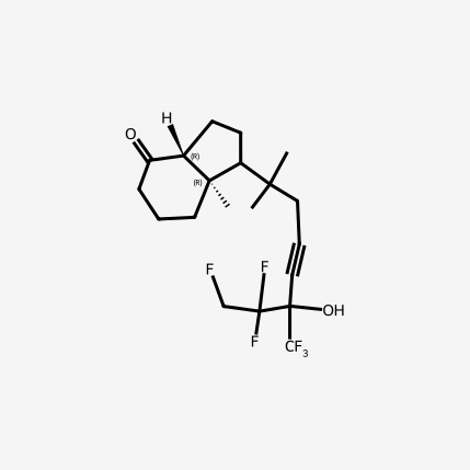 CC(C)(CC#CC(O)(C(F)(F)F)C(F)(F)CF)C1CC[C@H]2C(=O)CCC[C@]12C